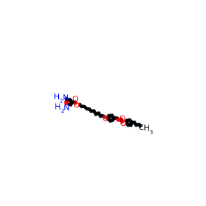 CCCCc1ccc(OC(=O)C=Cc2ccc(OCCCCCCCCCCCOC(=O)c3cc(N)cc(N)c3)cc2)cc1